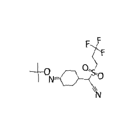 CC(C)(C)ON=C1CCC(C(C#N)S(=O)(=O)CCC(F)(F)F)CC1